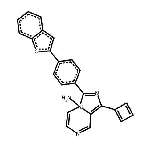 N[N+]12C=CN=CC1=C(C1=CC=C1)N=C2c1ccc(-c2cc3ccccc3o2)cc1